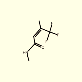 CNC(=O)C=C(C)C(F)(F)F